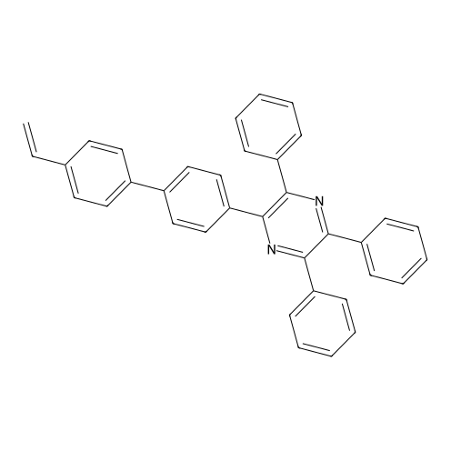 C=Cc1ccc(-c2ccc(-c3nc(-c4ccccc4)c(-c4ccccc4)nc3-c3ccccc3)cc2)cc1